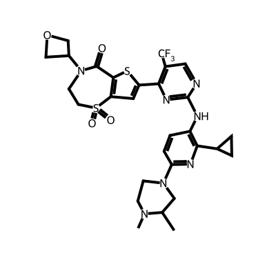 CC1CN(c2ccc(Nc3ncc(C(F)(F)F)c(-c4cc5c(s4)C(=O)N(C4COC4)CCS5(=O)=O)n3)c(C3CC3)n2)CCN1C